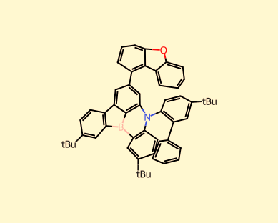 CC(C)(C)c1ccc2c(c1)B1c3cc(C(C)(C)C)ccc3N(c3ccc(C(C)(C)C)cc3-c3ccccc3)c3cc(-c4cccc5oc6ccccc6c45)cc-2c31